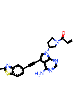 C=CC(=O)N1CC[C@H](n2cc(C#Cc3ccc4sc(C)nc4c3)c3c(N)ncnc32)C1